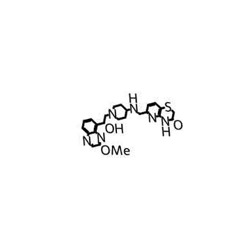 COc1cnc2cccc(C(O)CN3CCC(NCc4ccc5c(n4)NC(=O)CS5)CC3)c2n1